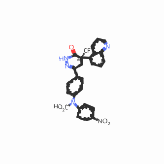 O=C(O)N(c1ccc(C2=NNC(=O)[C@@](c3cccc4ncccc34)(C(F)(F)F)C2)cc1)c1ccc([N+](=O)[O-])cc1